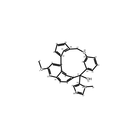 COc1cc2c3cc(ccc3n1)C(O)(c1cncn1C)c1cccc(c1)OCc1cccc-2c1